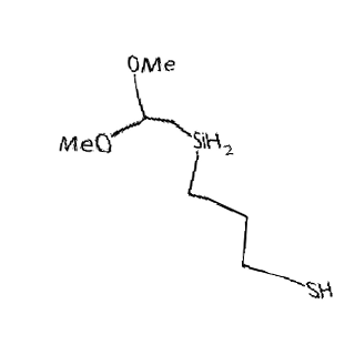 COC(OC)[SiH2]CCCS